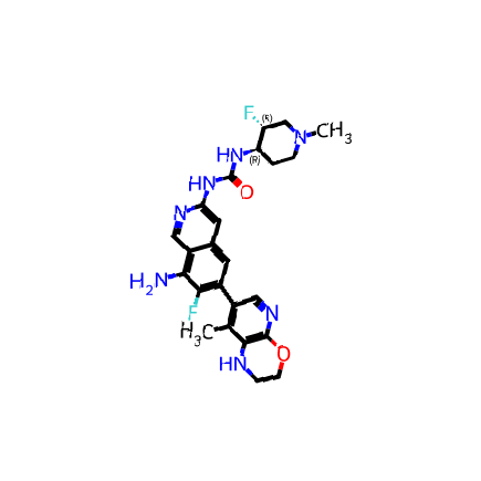 Cc1c(-c2cc3cc(NC(=O)N[C@@H]4CCN(C)C[C@H]4F)ncc3c(N)c2F)cnc2c1NCCO2